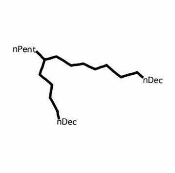 [CH2]CCCCC(CCCCCCCCCCCCCC)CCCCCCCCCCCCCCCCC